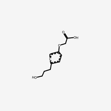 O=C(O)COc1ccc(CCCO)cc1